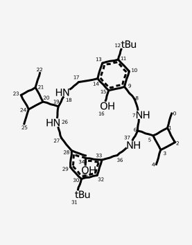 CC1CC(C)C1C1NCc2cc(C(C)(C)C)cc(c2O)CNC(C2C(C)CC2C)NCc2cc(C(C)(C)C)cc(c2O)CN1